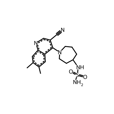 Cc1cc2ncc(C#N)c(N3CCCC(NS(N)(=O)=O)CC3)c2cc1C